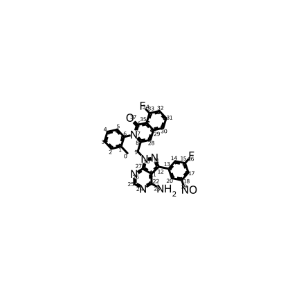 Cc1ccccc1-n1c(Cn2nc(-c3cc(F)cc(N=O)c3)c3c(N)ncnc32)cc2cccc(F)c2c1=O